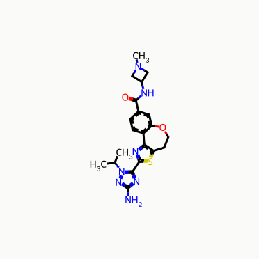 CC(C)n1nc(N)nc1-c1nc2c(s1)CCOc1cc(C(=O)NC3CN(C)C3)ccc1-2